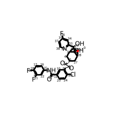 C[C@H]1CC2C[C@@H](S(=O)(=O)c3cc(C(=O)Nc4ccc(F)c(F)c4)ccc3Cl)CC1[C@@]2(O)[C@H](O)c1cc(F)ccn1